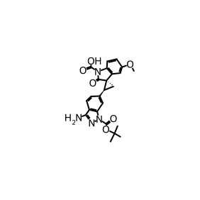 COc1ccc2c(c1)[C@]1(C[C@H]1c1ccc3c(N)nn(C(=O)OC(C)(C)C)c3c1)C(=O)N2C(=O)O